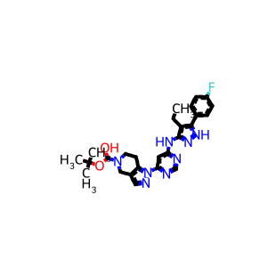 CCc1c(Nc2cc(-n3ncc4c3CCN(C(O)OC(C)(C)C)C4)ncn2)n[nH]c1-c1ccc(F)cc1